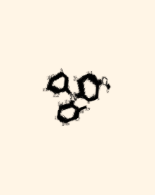 COc1ccc(N(c2ccccc2)c2ccccc2C)cc1